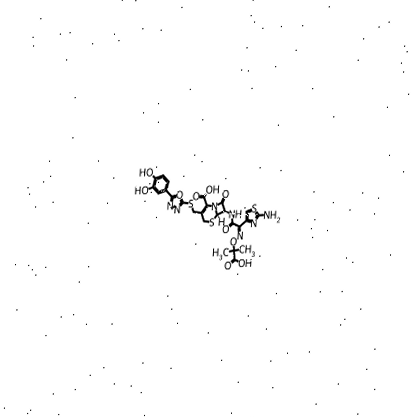 CC(C)(O/N=C(\C(=O)N[C@@H]1C(=O)N2C(C(=O)O)=C(CSc3nnc(-c4ccc(O)c(O)c4)o3)CS[C@H]12)c1csc(N)n1)C(=O)O